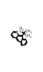 CC(C)(C)c1c2b[c]ccc2cc2ccccc12